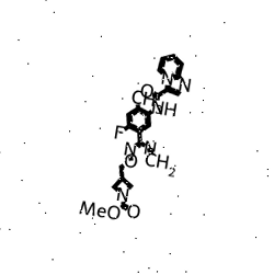 C=N/C(=N\OCC1CN(C(=O)OC)C1)c1cc(NC(=O)c2cnc3ccccn23)c(C)cc1F